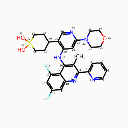 Cc1c(-c2ccccn2)nc2cc(F)cc(F)c2c1Nc1cc(N2CCOCC2)ncc1C1CCS(O)(O)CC1